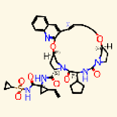 C=CC1C[C@]1(NC(=O)[C@@H]1C[C@@H]2CN1C(=O)[C@H](C1CCCC1)NC(=O)N1CC[C@@H](C1)OCCC/C=C/c1cc3ccccc3nc1O2)C(=O)NS(=O)(=O)C1CC1